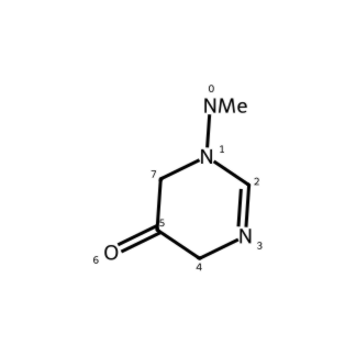 CNN1C=NCC(=O)C1